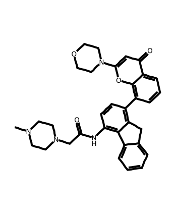 CN1CCN(CC(=O)Nc2ccc(-c3cccc4c(=O)cc(N5CCOCC5)oc34)c3c2-c2ccccc2C3)CC1